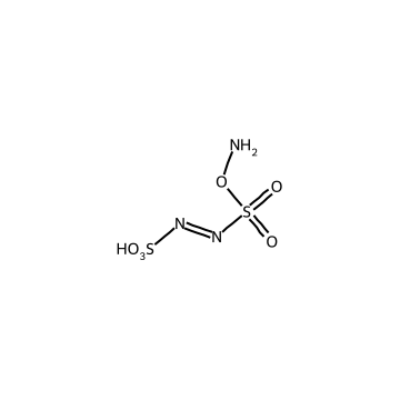 NOS(=O)(=O)N=NS(=O)(=O)O